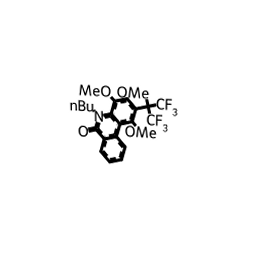 CCCCn1c(=O)c2ccccc2c2c(OC)c(C(OC)(C(F)(F)F)C(F)(F)F)cc(OC)c21